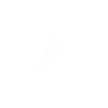 COC(=O)N1CCCc2c1ccc1c2nc(CCn2cccn2)n1CC(=O)N(C)CC(C)(C)O